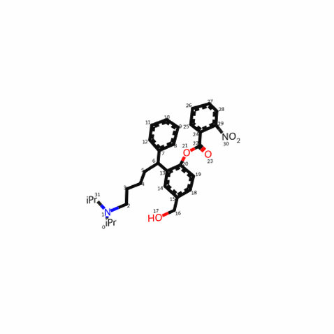 CC(C)N(CCCCC(c1ccccc1)c1cc(CO)ccc1OC(=O)c1ccccc1[N+](=O)[O-])C(C)C